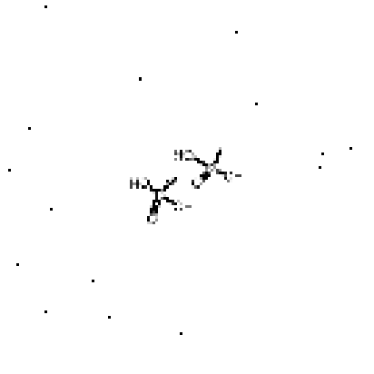 CP(=O)(O)O.CP(=O)(O)O